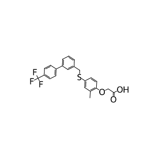 Cc1cc(SCc2cccc(-c3ccc(C(F)(F)F)cc3)c2)ccc1OCC(=O)O